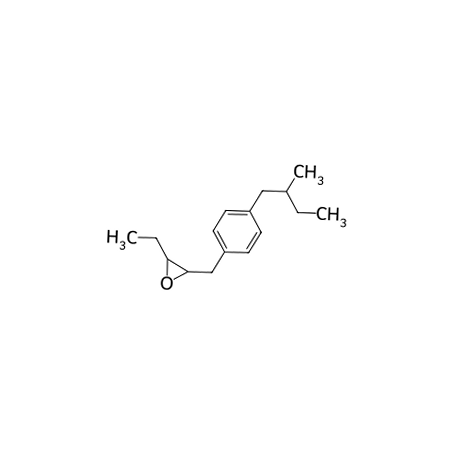 CCC(C)Cc1ccc(CC2OC2CC)cc1